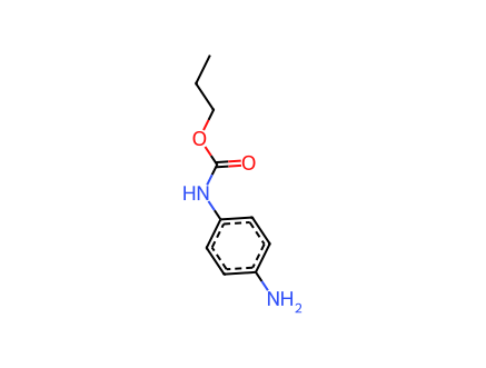 CCCOC(=O)Nc1ccc(N)cc1